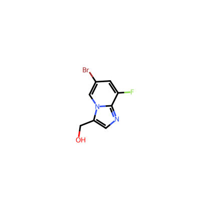 OCc1cnc2c(F)cc(Br)cn12